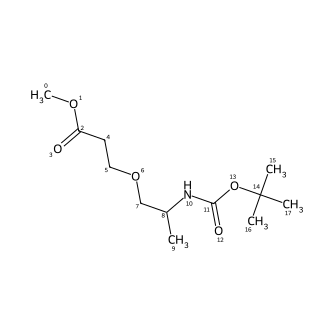 COC(=O)CCOCC(C)NC(=O)OC(C)(C)C